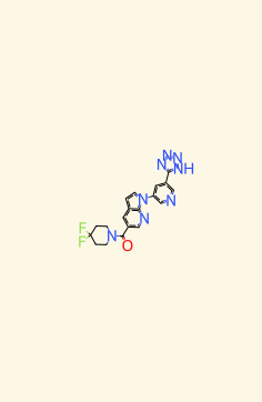 O=C(c1cnc2c(ccn2-c2cncc(-c3nnn[nH]3)c2)c1)N1CCC(F)(F)CC1